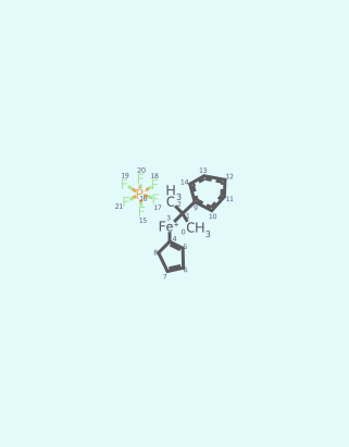 C[C](C)([Fe+][C]1=CC=CC1)c1ccccc1.F[P-](F)(F)(F)(F)F